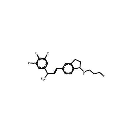 FCCCNC1CCc2cc(/C=C/C(c3cc(Cl)c(F)c(Cl)c3)C(F)(F)F)ccc21